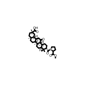 COC(=O)C1CCCN1C(=O)[C@H]1CC[C@]2(C)[C@H]3C(=O)C=C4[C@@H]5C[C@@](C)(C(=O)O)CC[C@]5(C)CC[C@@]4(C)[C@]3(C)CC[C@H]2C1(C)C